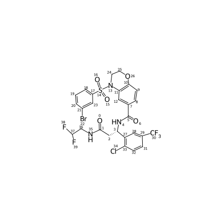 O=C(C[C@H](NC(=O)c1ccc2c(c1)N(S(=O)(=O)c1cccc(Br)c1)CCO2)c1cc(C(F)(F)F)ccc1Cl)NCC(F)F